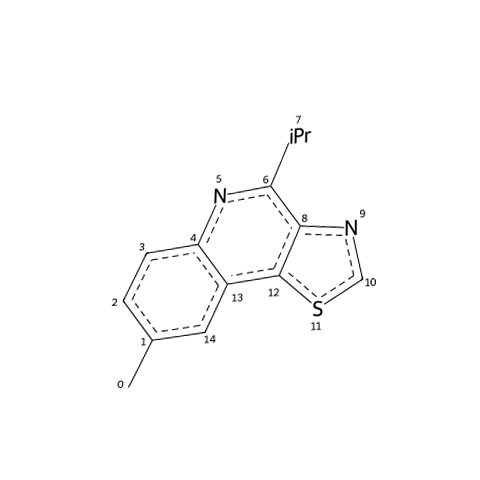 Cc1ccc2nc(C(C)C)c3ncsc3c2c1